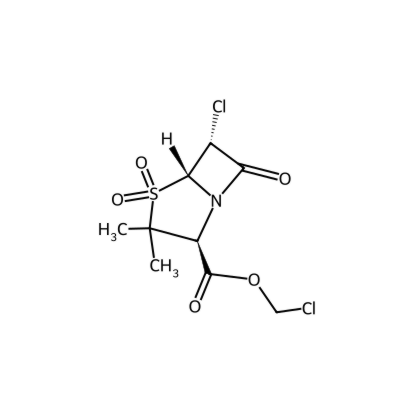 CC1(C)[C@H](C(=O)OCCl)N2C(=O)[C@@H](Cl)[C@H]2S1(=O)=O